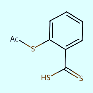 CC(=O)Sc1ccccc1C(=S)S